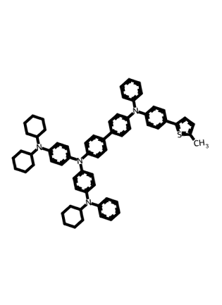 Cc1ccc(-c2ccc(N(c3ccccc3)c3ccc(-c4ccc(N(c5ccc(N(c6ccccc6)C6CCCCC6)cc5)c5ccc(N(C6CCCCC6)C6CCCCC6)cc5)cc4)cc3)cc2)s1